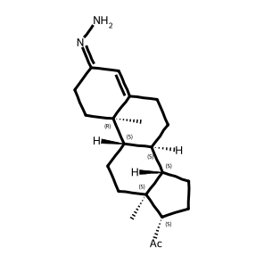 CC(=O)[C@H]1CC[C@H]2[C@@H]3CCC4=CC(=NN)CC[C@]4(C)[C@H]3CC[C@]12C